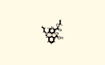 CCCN(Sc1cccc(C(=O)O)c1)c1ccc(C(=O)OCC)nc1